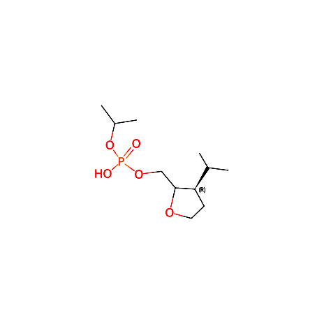 CC(C)OP(=O)(O)OCC1OCC[C@@H]1C(C)C